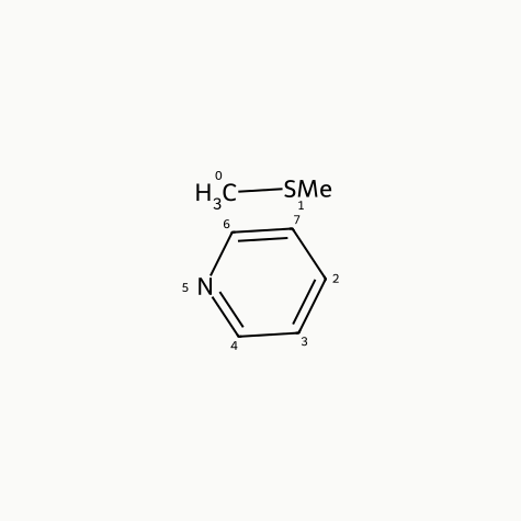 CSC.c1ccncc1